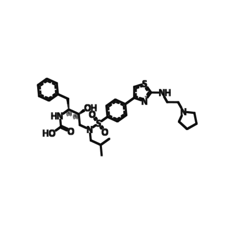 CC(C)CN(C[C@H](O)[C@H](Cc1ccccc1)NC(=O)O)S(=O)(=O)c1ccc(-c2csc(NCCN3CCCC3)n2)cc1